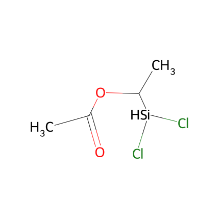 CC(=O)OC(C)[SiH](Cl)Cl